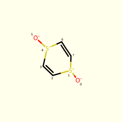 [O-][S+]1C=C[S+]([O-])C=C1